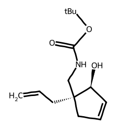 C=CC[C@@]1(CNC(=O)OC(C)(C)C)CC=C[C@@H]1O